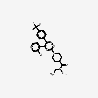 CCN(C)C(=O)C1CCN(c2nnc(-c3ccc(C(F)(F)F)cc3)c(-c3ccncc3Cl)n2)CC1